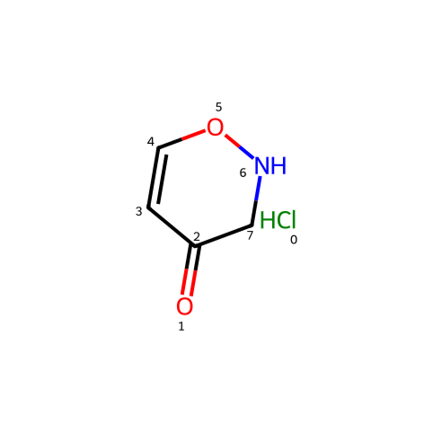 Cl.O=C1C=CONC1